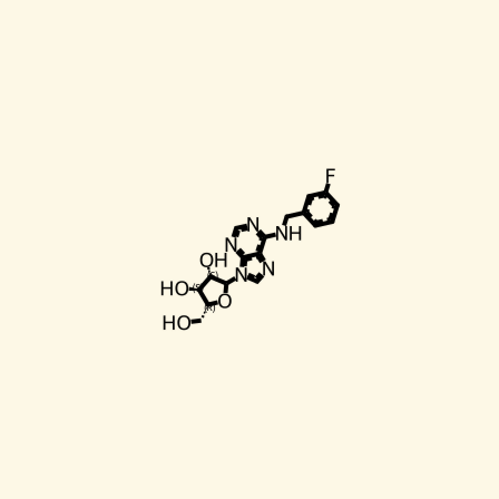 OC[C@H]1OC(n2cnc3c(NCc4cccc(F)c4)ncnc32)[C@@H](O)[C@@H]1O